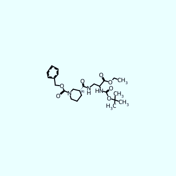 CCOC(=O)C(CNC(=O)[C@@H]1CCCN(C(=O)OCc2ccccc2)C1)NC(=O)OC(C)(C)C